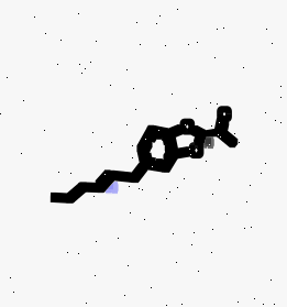 CCC/C=C/Cc1ccc2c(c1)O[C@H](C(C)=O)O2